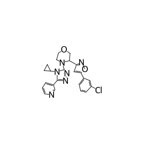 Clc1cccc(-c2cc(C3COCCN3c3nnc(-c4cccnc4)n3C3CC3)no2)c1